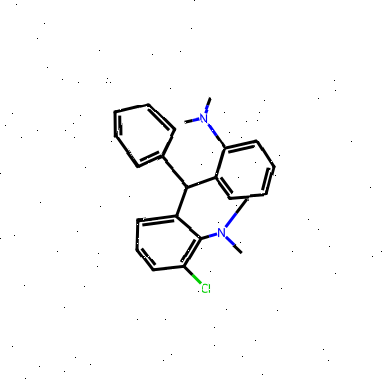 CN(C)c1ccccc1C(c1ccccc1)c1cccc(Cl)c1N(C)C